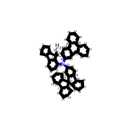 CC1(C)c2ccccc2-c2cccc(N(c3ccc4c(c3)C3(c5ccccc5-c5ccccc53)c3ccccc3-4)c3ccc4c5ccccc5c5ccccc5c4c3)c21